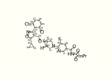 CCCS(=O)(=O)NC(=O)c1cnc(N2C[C@@H]3CC2C[C@H]3OCc2c(-c3c(Cl)cccc3Cl)noc2C2CC2)c(F)c1